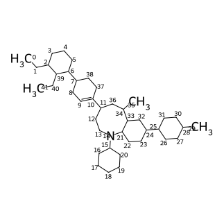 CCC1CCCC(C2CC=C(C3CCN(C4CCCCC4)C4CCC(C5CCC(C)CC5)CC4C(C)C3)CC2)C1CC